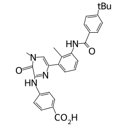 Cc1c(NC(=O)c2ccc(C(C)(C)C)cc2)cccc1-c1cn(C)c(=O)c(Nc2ccc(C(=O)O)cc2)n1